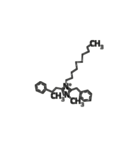 CCCCCCCCCC[n+]1c(CC(C)c2ccccc2)cn(C)c1Cc1ccccc1